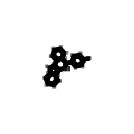 Cc1ccc(C2Nc3c(sc4ccccc34)-c3ccccc32)cc1